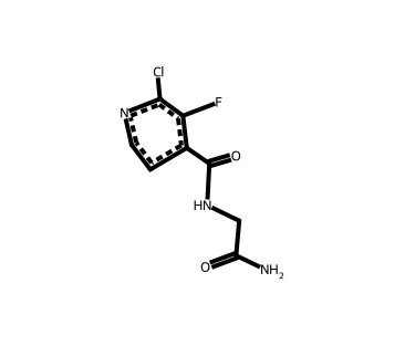 NC(=O)CNC(=O)c1ccnc(Cl)c1F